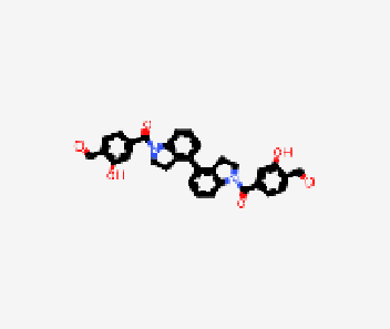 O=Cc1ccc(C(=O)N2CCc3c(-c4cccc5c4CCN5C(=O)c4ccc(C=O)c(O)c4)cccc32)cc1O